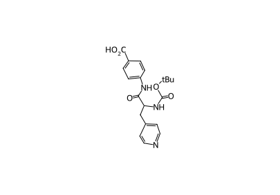 CC(C)(C)OC(=O)NC(Cc1ccncc1)C(=O)Nc1ccc(C(=O)O)cc1